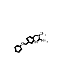 CN(Cc1ccc(COc2ccccc2)cc1)C(=N)N